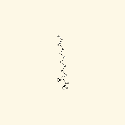 CC=CCCCCCCCC(=O)C=O